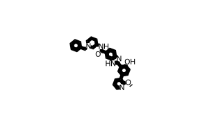 COc1ncccc1-c1ccc(O)c(-c2nc3ccc(C(=O)NC4CCCN(Cc5ccccc5)C4)cc3[nH]2)c1